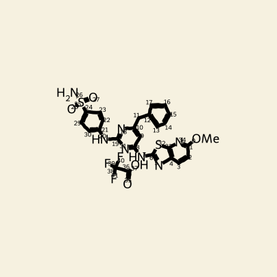 COc1ccc2nc(Nc3cc(Cc4ccccc4)nc(Nc4ccc(S(N)(=O)=O)cc4)n3)sc2n1.O=C(O)C(F)(F)F